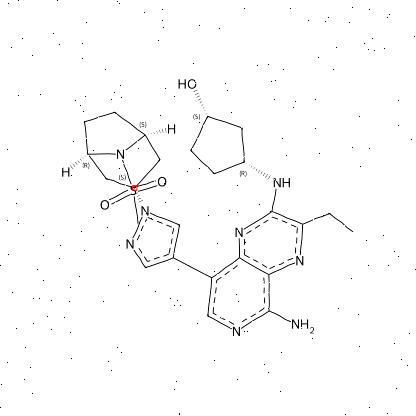 CCc1nc2c(N)ncc(-c3cnn([C@@H]4C[C@H]5CC[C@@H](C4)N5S(C)(=O)=O)c3)c2nc1N[C@@H]1CC[C@H](O)C1